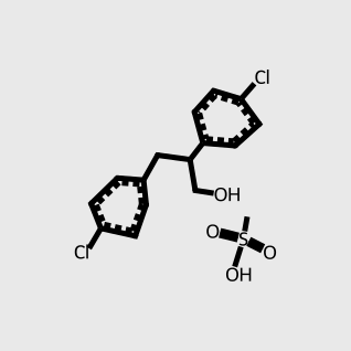 CS(=O)(=O)O.OCC(Cc1ccc(Cl)cc1)c1ccc(Cl)cc1